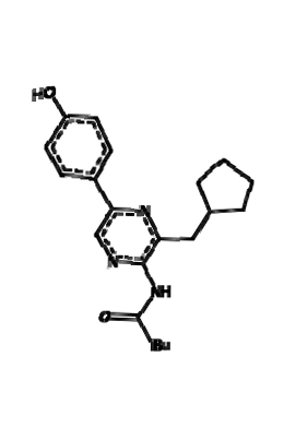 CCC(C)C(=O)Nc1ncc(-c2ccc(O)cc2)nc1CC1CCCC1